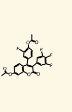 CC(=O)Oc1ccc2c(-c3ccc(OC(C)=O)c(F)c3)c(-c3cc(F)c(F)c(F)c3)c(=O)oc2c1